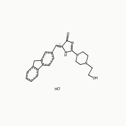 Cl.O=C1N=C(N2CCN(CCO)CC2)N/C1=C\c1ccc2c(c1)Cc1ccccc1-2